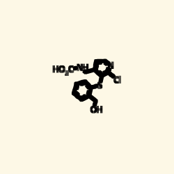 O=C(O)NCc1ccnc(Cl)c1Sc1ccccc1CO